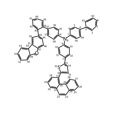 c1ccc(-c2ccc(N(c3ccc(-c4ccc(-c5cccc6ccc7ccccc7c56)s4)cc3)c3ccc(-c4ccccc4-c4ccc5oc6ccccc6c5c4)cc3)cc2)cc1